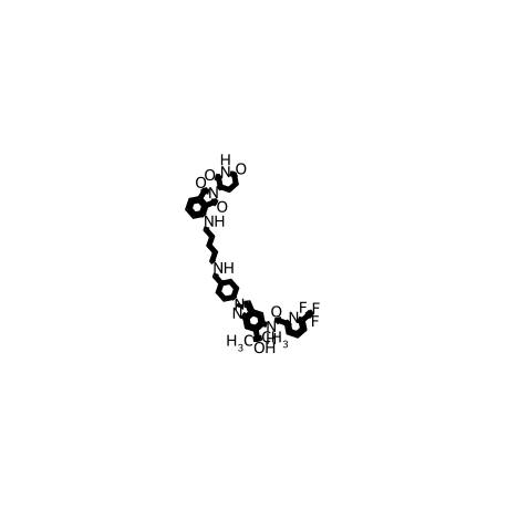 CC(C)(O)c1cc2nn(C3CCC(CNCCCCCNc4cccc5c4C(=O)N(C4CCC(=O)NC4=O)C5=O)CC3)cc2cc1NC(=O)c1cccc(C(F)(F)F)n1